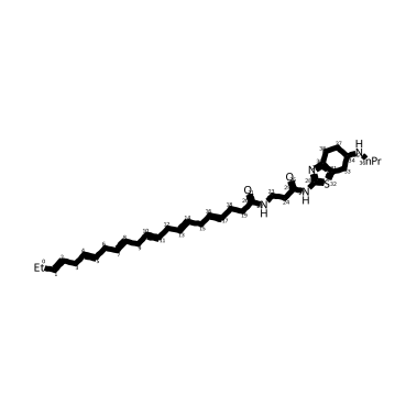 CCC=CCC=CCC=CCC=CCC=CCC=CCCC(=O)NCCC(=O)Nc1nc2c(s1)CC(NCCC)CC2